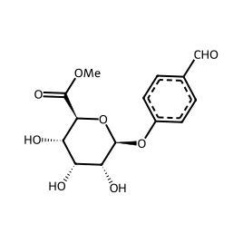 COC(=O)[C@H]1O[C@@H](Oc2ccc(C=O)cc2)[C@H](O)[C@H](O)[C@@H]1O